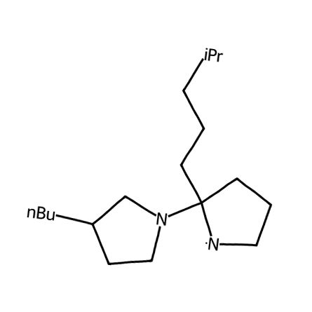 CCCCC1CCN(C2(CCCC(C)C)CCC[N]2)C1